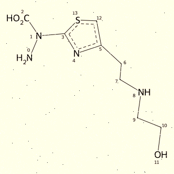 NN(C(=O)O)c1nc(CCNCCO)cs1